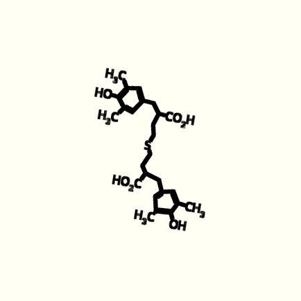 Cc1cc(CC(CCSCCC(Cc2cc(C)c(O)c(C)c2)C(=O)O)C(=O)O)cc(C)c1O